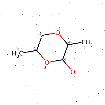 CC1COC(C)C([O])O1